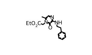 CCOC(=O)Cn1c(C)cnc(NCCc2ccccc2)c1=O